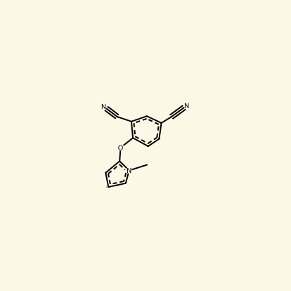 Cn1c[c]cc1Oc1ccc(C#N)cc1C#N